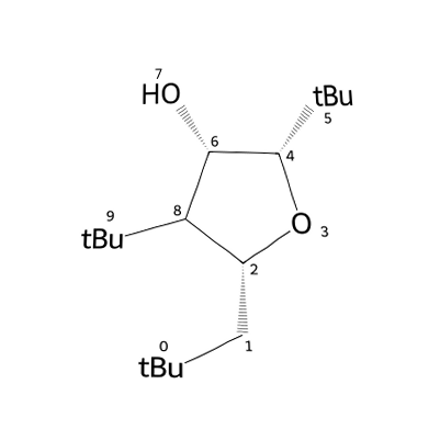 CC(C)(C)C[C@H]1O[C@@H](C(C)(C)C)[C@@H](O)C1C(C)(C)C